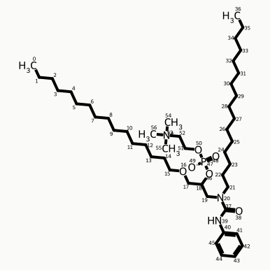 CCCCCCCCCCCCCCCCOCC(CN(CCCCCCCCCCCCCCCC)C(=O)Nc1ccccc1)OP(=O)([O-])OCC[N+](C)(C)C